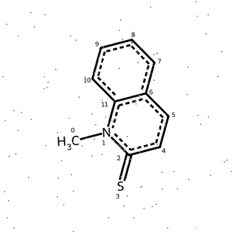 Cn1c(=S)ccc2c[c]ccc21